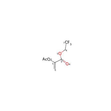 C=C(OC(C)=O)C(=O)OCC(F)(F)F